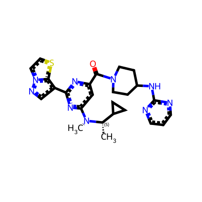 C[C@@H](C1CC1)N(C)c1cc(C(=O)N2CCC(Nc3ncccn3)CC2)nc(-c2cnn3ccsc23)n1